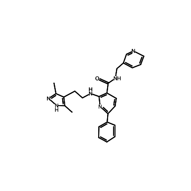 Cc1n[nH]c(C)c1CCNc1nc(-c2ccccc2)ccc1C(=O)NCc1cccnc1